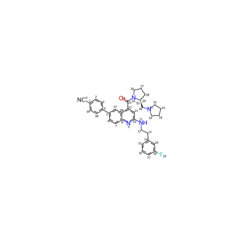 N#Cc1ccc(-c2ccc3nc(NCCc4cccc(F)c4)cc(C(=O)N4CCC[C@H]4CN4CCCC4)c3c2)cc1